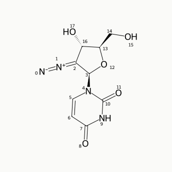 [N-]=[N+]=C1[C@H](n2ccc(=O)[nH]c2=O)O[C@H](CO)[C@H]1O